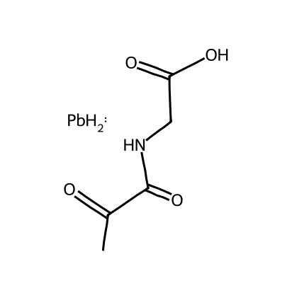 CC(=O)C(=O)NCC(=O)O.[PbH2]